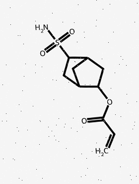 C=CC(=O)OC1CC2CC1CC2S(N)(=O)=O